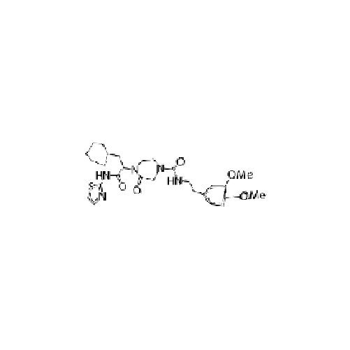 COc1ccc(CCNC(=O)N2CCN(C(CC3CCCCC3)C(=O)Nc3nccs3)C(=O)C2)cc1OC